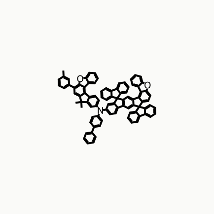 Cc1cccc(-c2cc3c(c4c2oc2ccccc24)-c2ccc(N(c4ccc(-c5ccccc5)cc4)c4ccc5c(c4)C4(c6ccccc6-c6ccccc64)c4cc6c(cc4-5)C4(c5ccccc5-c5ccccc54)c4ccc5oc7ccccc7c5c4-6)cc2C3(C)C)c1